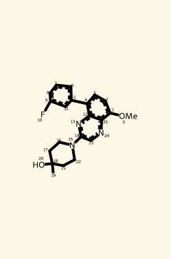 COc1ccc(-c2cccc(F)c2)c2nc(N3CCC(C)(O)CC3)cnc12